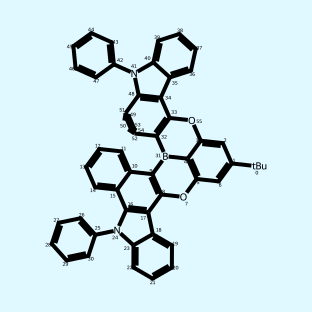 CC(C)(C)c1cc2c3c(c1)Oc1c(c4ccccc4c4c1c1ccccc1n4-c1ccccc1)B3c1c(c3c4ccccc4n(-c4ccccc4)c3c3ccccc13)O2